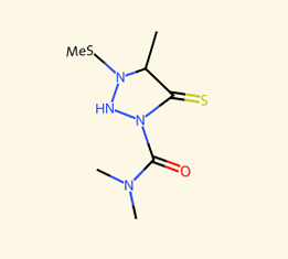 CSN1NN(C(=O)N(C)C)C(=S)C1C